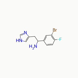 NC(Cc1c[nH]cn1)c1ccc(F)c(Br)c1